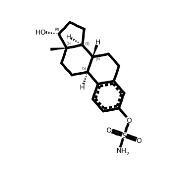 C[C@]12CC[C@@H]3c4ccc(OS(N)(=O)=O)cc4CC[C@H]3[C@@H]1CC[C@H]2O